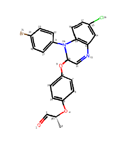 C[C@H](C=O)Oc1ccc(OC2C=Nc3cc(Cl)ccc3N2c2ccc(Br)cc2)cc1